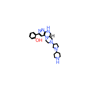 Oc1ccccc1-c1cc2c(nn1)NC[C@H]1CN(C3CCN(C4CCNCC4)C3)CCN21